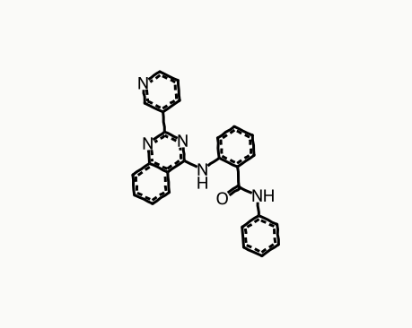 O=C(Nc1ccccc1)c1ccccc1Nc1nc(-c2cccnc2)nc2ccccc12